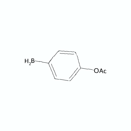 Bc1ccc(OC(C)=O)cc1